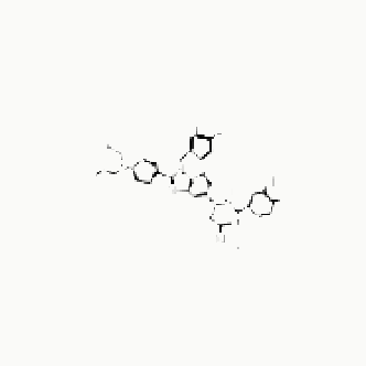 NC(=O)CC(NCc1ccc(Cl)c(Cl)c1)c1ccc2c(c1)nc(-c1ccc(N(CCO)CCO)cc1)n2Cc1ccc(F)c(F)c1